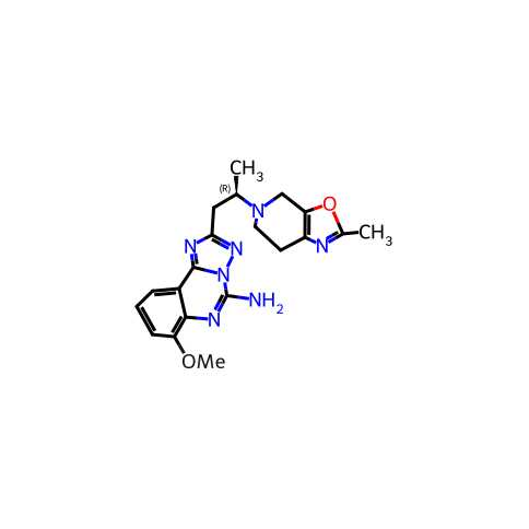 COc1cccc2c1nc(N)n1nc(C[C@@H](C)N3CCc4nc(C)oc4C3)nc21